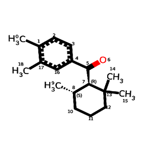 Cc1ccc(C(=O)[C@@H]2[C@@H](C)CCCC2(C)C)cc1C